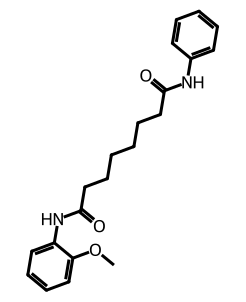 COc1ccccc1NC(=O)CCCCCCC(=O)Nc1ccccc1